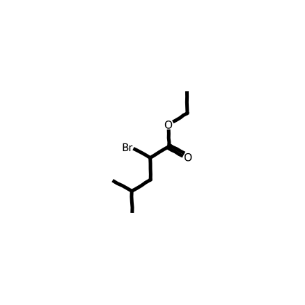 CCOC(=O)C(Br)CC(C)C